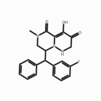 CN1CC(C(c2ccccc2)c2cccc(F)c2)N2NCC(=O)C(O)=C2C1=O